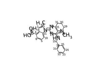 Cc1cc2c(B(O)O)cccc2n1-c1nc2c(c(NCc3ccccc3)n1)N(C)CCC2